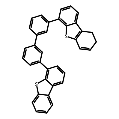 C1=Cc2sc3c(-c4cccc(-c5cccc(-c6cccc7c6sc6ccccc67)c5)c4)cccc3c2CC1